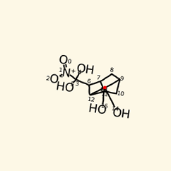 O=[N+]([O-])C(O)(O)C1C2CC3CC2C1C(O)(O)C3